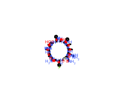 CCCC[C@H]1C(=O)N(C)[C@@H](CCCC)C(=O)N[C@@H](CCCNC(=N)N)C(=O)N[C@H](C(=O)NCC(N)=O)CSCC(=O)N[C@@H](CCc2ccc(F)cc2)C(=O)N(C)[C@@H](C)C(=O)NC(CC(N)=O)C(=O)N2CCC[C@H]2C(=O)N[C@@H](Cc2cnc[nH]2)C(=O)N[C@@H](CC(C)C)C(=O)N2C[C@H](O)CC2C(=O)N[C@@H](Cc2c[nH]c3ccccc23)C(=O)N[C@@H](CO)C(=O)N[C@@H](Cc2c[nH]c3ccccc23)C(=O)N1C